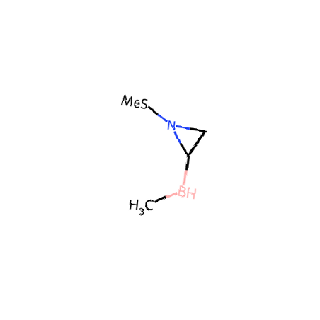 CBC1CN1SC